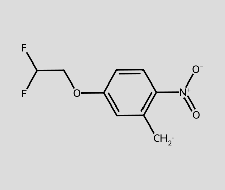 [CH2]c1cc(OCC(F)F)ccc1[N+](=O)[O-]